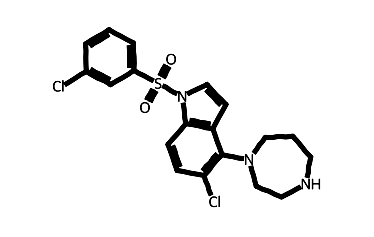 O=S(=O)(c1cccc(Cl)c1)n1ccc2c(N3CCCNCC3)c(Cl)ccc21